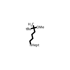 CCCCCCCCCCCC(C)(OC)C(C)(C)C